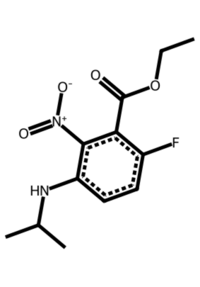 CCOC(=O)c1c(F)ccc(NC(C)C)c1[N+](=O)[O-]